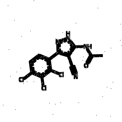 CC(=O)Nc1[nH]nc(-c2ccc(Cl)c(Cl)c2Cl)c1C#N